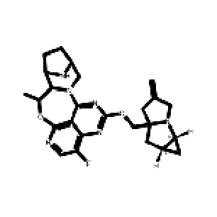 C=C1CN2[C@@H]3C[C@@H]3CC2(COc2nc3c4c(ncc(F)c4n2)OC(C)C2C4CCC(CN32)N4)C1